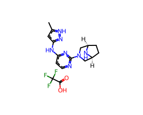 Cc1cc(Nc2ccnc(N3C[C@H]4CC[C@@H](C3)N4)n2)n[nH]1.O=C(O)C(F)(F)F